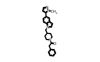 Cn1nccc1-c1ccc2c(ccn2CC2CCN(C(=O)Cc3ccccc3)CC2)c1